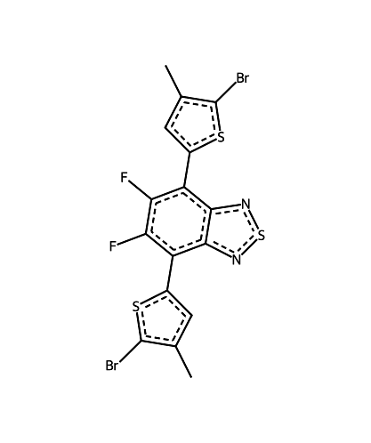 Cc1cc(-c2c(F)c(F)c(-c3cc(C)c(Br)s3)c3nsnc23)sc1Br